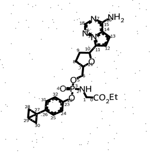 CCOC(=O)CNP(=O)(OCC1CCC(c2ccc3c(N)ncnn23)O1)Oc1ccc(C23CC2C3)cc1